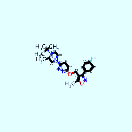 Cc1onc(-c2ccc(F)cc2)c1COc1ccc(N2CCN(C(C)(C)C)C(C)C2)nn1